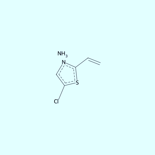 C=Cc1ncc(Cl)s1.N